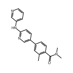 Cc1cc(-c2ccc(Nc3cccnc3)nc2)ccc1C(=O)N(C)C